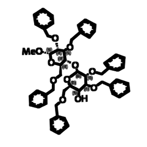 CO[C@H]1O[C@H](COCc2ccccc2)[C@@H](O[C@H]2O[C@H](COCc3ccccc3)[C@H](O)[C@H](OCc3ccccc3)[C@H]2OCc2ccccc2)[C@H](OCc2ccccc2)[C@H]1OCc1ccccc1